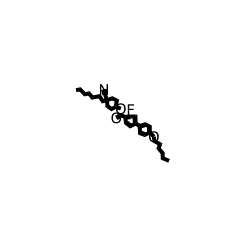 CCCCCCCC1(C#N)CCC(OC(=O)c2ccc(-c3ccc(OCCCCCC)cc3)cc2F)CC1